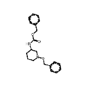 O=C(N[C@@H]1CCCN(OCc2ccccc2)C1)OCc1ccccc1